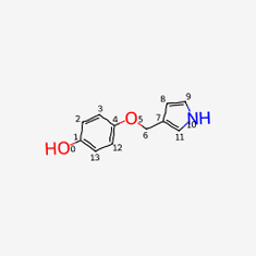 Oc1ccc(OCc2cc[nH]c2)cc1